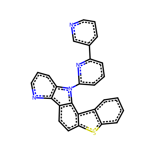 c1cncc(-c2cccc(-n3c4cccnc4c4ccc5sc6ccccc6c5c43)n2)c1